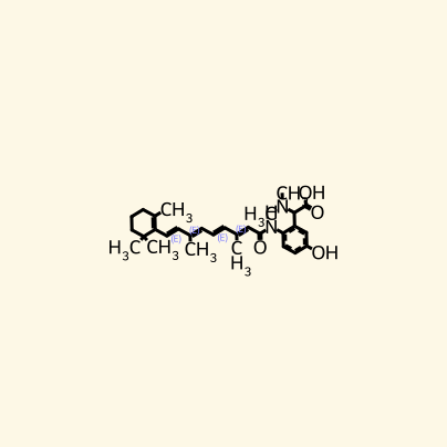 CC1=C(/C=C/C(C)=C/C=C/C(C)=C/C(=O)Nc2ccc(O)cc2C(C(=O)O)N(C)C)C(C)(C)CCC1